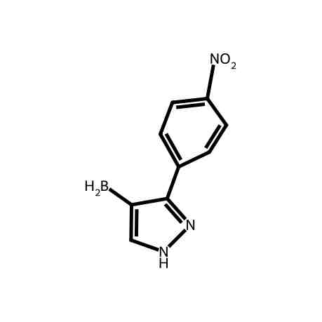 Bc1c[nH]nc1-c1ccc([N+](=O)[O-])cc1